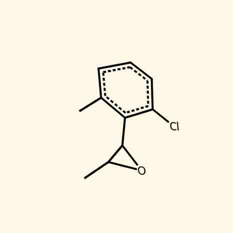 Cc1cccc(Cl)c1C1OC1C